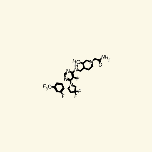 NC(=O)CN1CCC(CNc2ncnc(N3CC(F)(F)C[C@@H]3c3ccc(C(F)(F)F)cc3F)c2F)C(O)C1